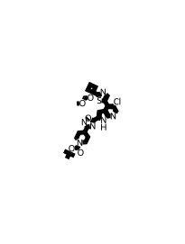 COCOC1(c2ncc(-c3c(Cl)cnc4[nH]c(-c5nc(C6CCN(C(=O)OC(C)(C)C)CC6)no5)cc34)s2)CCC1